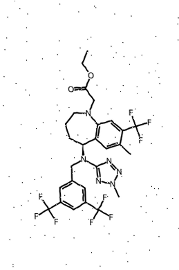 CCOC(=O)CN1CCC[C@H](N(Cc2cc(C(F)(F)F)cc(C(F)(F)F)c2)c2nnn(C)n2)c2cc(C)c(C(F)(F)F)cc21